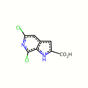 O=C(O)c1cc2cc(Cl)nc(Cl)c2[nH]1